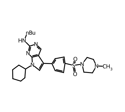 CCCCNc1ncc2c(-c3ccc(S(=O)(=O)N4CCN(C)CC4)cc3)cn(C3CCCCC3)c2n1